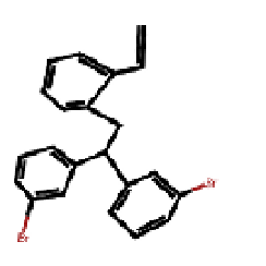 C=Cc1ccccc1CC(c1cccc(Br)c1)c1cccc(Br)c1